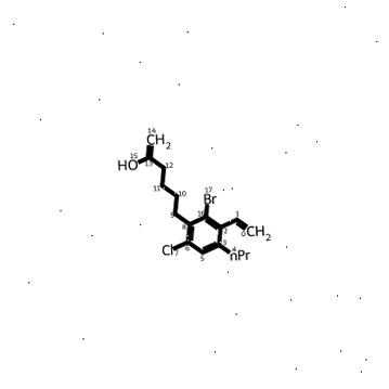 C=Cc1c(CCC)cc(Cl)c(CCCCC(=C)O)c1Br